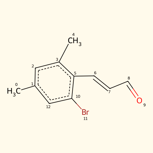 Cc1cc(C)c(C=CC=O)c(Br)c1